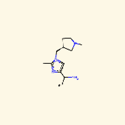 Cc1nc(C(N)C(C)C)cn1C[C@H]1CCN(C)C1